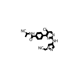 CC(C#N)NC(=O)c1ccc(-c2nc(Nc3cnn(CC#N)c3)ncc2Cl)cc1